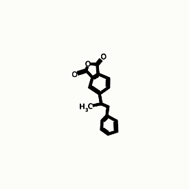 CC(Cc1ccccc1)c1ccc2c(c1)C(=O)OC2=O